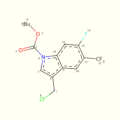 CC(C)(C)OC(=O)n1cc(CCl)c2cc(C(F)(F)F)c(F)cc21